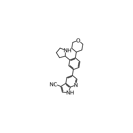 N#Cc1c[nH]c2ncc(-c3ccc(C4CCOCC4)c(C4CCCN4)c3)cc12